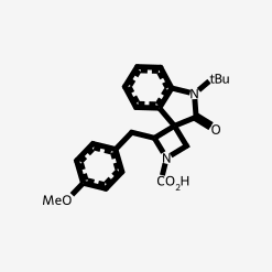 COc1ccc(CC2N(C(=O)O)CC23C(=O)N(C(C)(C)C)c2ccccc23)cc1